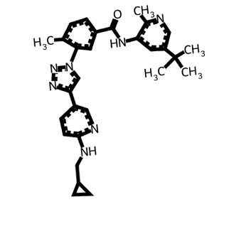 Cc1ccc(C(=O)Nc2cc(C(C)(C)C)cnc2C)cc1-n1cc(-c2ccc(NCC3CC3)nc2)nn1